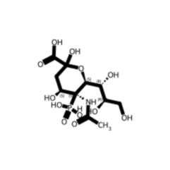 CC(=O)N[C@]1(P(=O)(O)O)[C@@H](O)CC(O)(C(=O)O)O[C@H]1[C@H](O)[C@H](O)CO